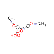 CC/C=C/COc1ccc(/C=C/C(=O)c2ccc(OC/C=C/CC)cc2OCC(=O)O)cc1